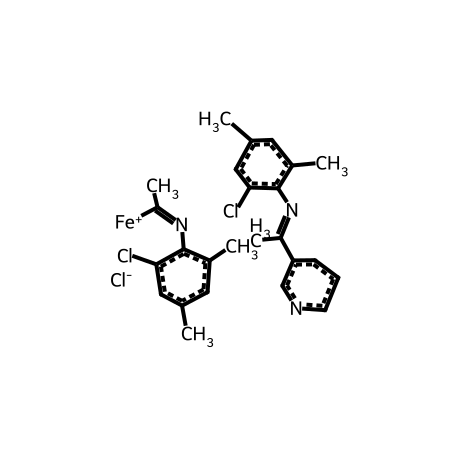 CC(=Nc1c(C)cc(C)cc1Cl)c1cccnc1.C[C]([Fe+])=Nc1c(C)cc(C)cc1Cl.[Cl-]